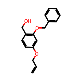 C=CCOc1ccc(CO)c(OCc2ccccc2)c1